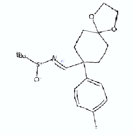 CC(C)(C)[S+]([O-])/N=C/C1(c2ccc(F)cc2)CCC2(CC1)OCCO2